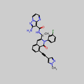 C[C@@H](NC(=O)c1c(N)nn2cccnc12)c1cc2cccc(C#Cc3cnn(C)c3)c2c(=O)n1-c1cccc(F)c1